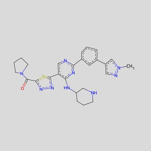 Cn1cc(-c2cccc(-c3ncc(-c4nnc(C(=O)N5CCCC5)s4)c(NC4CCCNC4)n3)c2)cn1